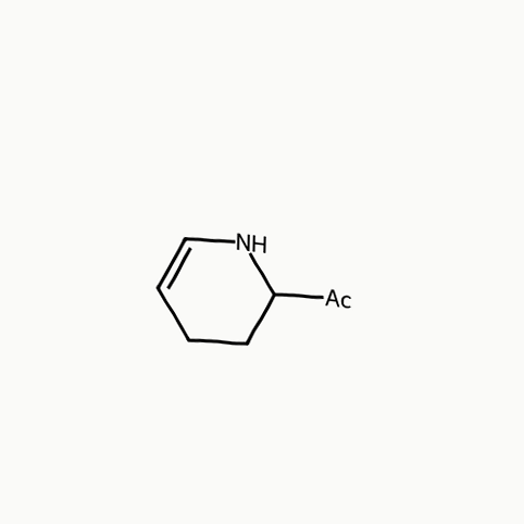 CC(=O)C1CCC=CN1